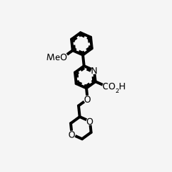 COc1ccccc1-c1ccc(OCC2COCCO2)c(C(=O)O)n1